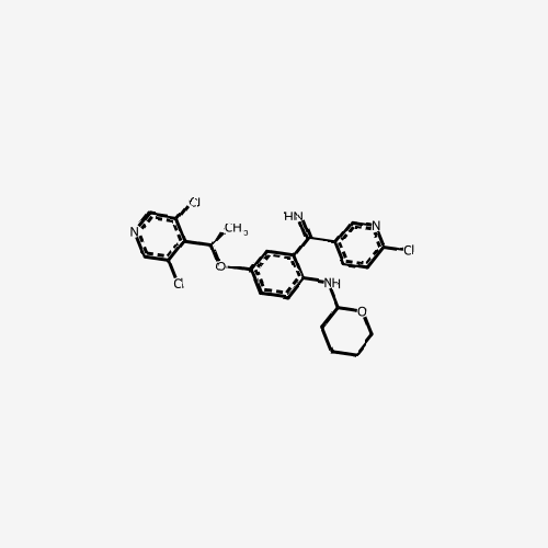 C[C@@H](Oc1ccc(NC2CCCCO2)c(C(=N)c2ccc(Cl)nc2)c1)c1c(Cl)cncc1Cl